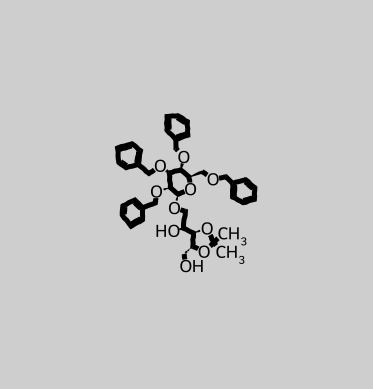 CC1(C)O[C@@H]([C@H](O)CO[C@H]2O[C@H](COCc3ccccc3)[C@H](OCc3ccccc3)[C@H](OCc3ccccc3)[C@H]2OCc2ccccc2)[C@@H](CO)O1